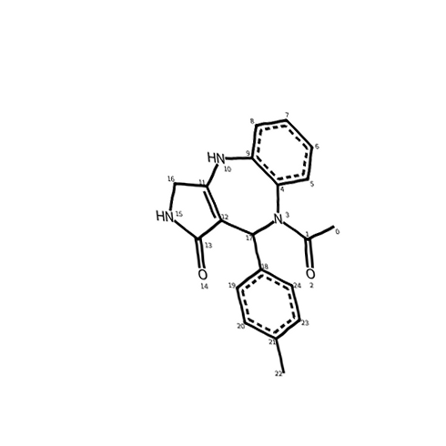 CC(=O)N1c2ccccc2NC2=C(C(=O)NC2)C1c1ccc(C)cc1